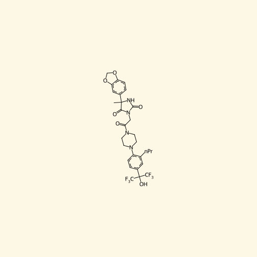 CCCc1cc(C(O)(C(F)(F)F)C(F)(F)F)ccc1N1CCN(C(=O)CN2C(=O)NC(C)(c3ccc4c(c3)OCO4)C2=O)CC1